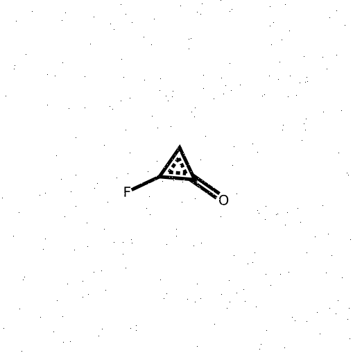 O=c1cc1F